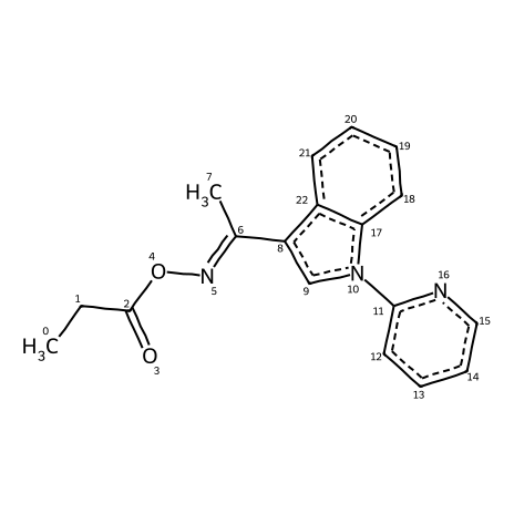 CCC(=O)O/N=C(\C)c1cn(-c2ccccn2)c2ccccc12